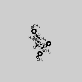 COc1ccc(N(C)C(=O)[C@H](C)Nc2nc(Cl)nc(N[C@@H](Cc3ccccc3)C(=O)N(C)c3ccc(OC)cc3)n2)cc1